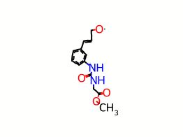 COC(=O)CNC(=O)Nc1cccc(/C=C/C[O])c1